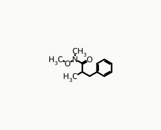 CON(C)C(=O)C(C)Cc1ccccc1